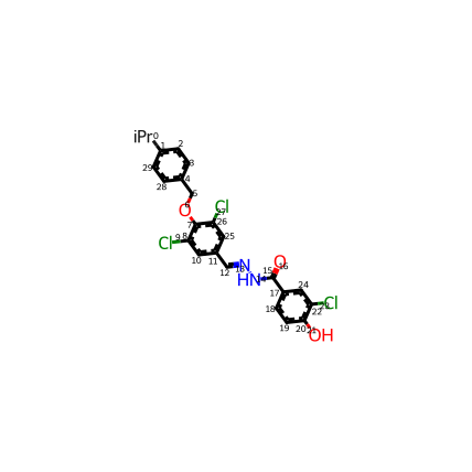 CC(C)c1ccc(COc2c(Cl)cc(/C=N/NC(=O)c3ccc(O)c(Cl)c3)cc2Cl)cc1